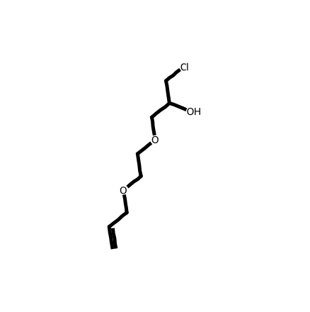 C=CCOCCOCC(O)CCl